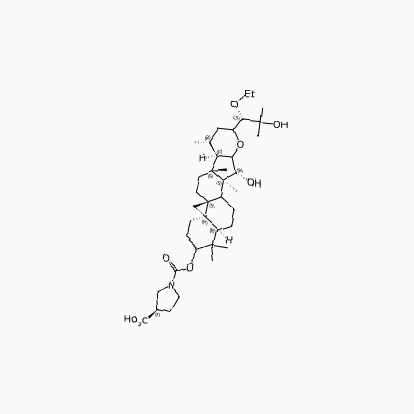 CCO[C@@H](C1C[C@@H](C)[C@H]2C(O1)[C@H](O)[C@@]1(C)C3CC[C@H]4C(C)(C)C(OC(=O)N5CC[C@@H](C(=O)O)C5)CC[C@@]45C[C@@]35CC[C@]21C)C(C)(C)O